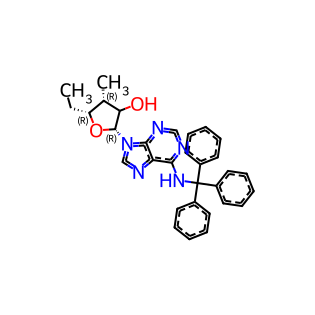 CC[C@H]1O[C@@H](n2cnc3c(NC(c4ccccc4)(c4ccccc4)c4ccccc4)ncnc32)C(O)[C@H]1C